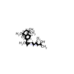 C=C(O)/C=C(C)/C=C/[C@@H]1C[C@]1(C)c1ccc2c(c1)C(C)(C)CCC2(C)C